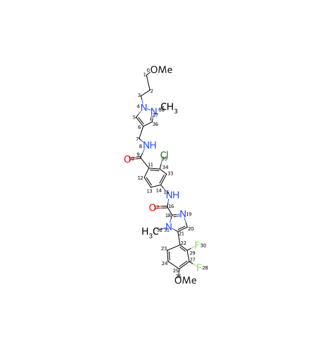 COCCCn1cc(CNC(=O)c2ccc(NC(=O)c3ncc(-c4ccc(OC)c(F)c4F)n3C)cc2Cl)c[n+]1C